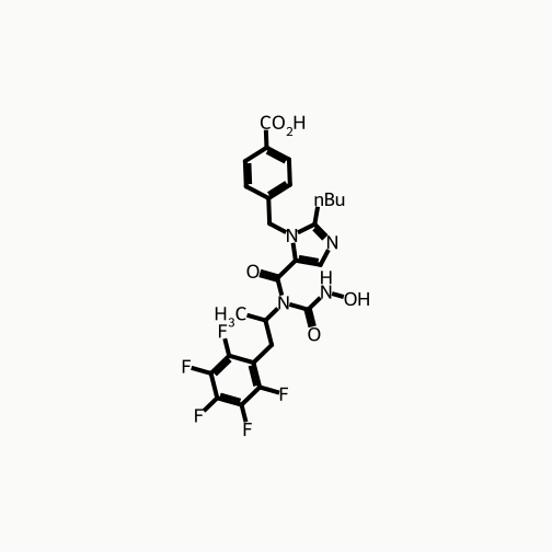 CCCCc1ncc(C(=O)N(C(=O)NO)C(C)Cc2c(F)c(F)c(F)c(F)c2F)n1Cc1ccc(C(=O)O)cc1